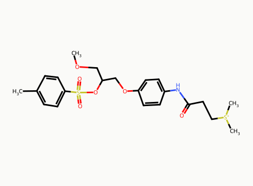 COCC(COc1ccc(NC(=O)CC[S+](C)C)cc1)OS(=O)(=O)c1ccc(C)cc1